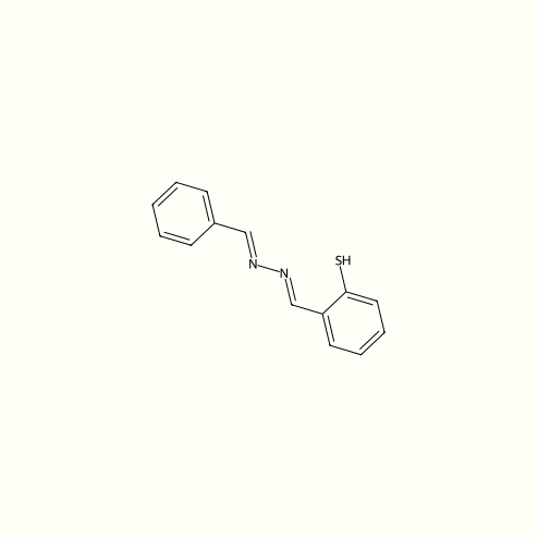 Sc1ccccc1C=NN=Cc1ccccc1